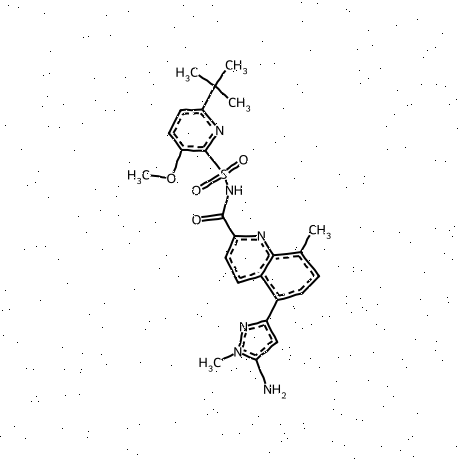 COc1ccc(C(C)(C)C)nc1S(=O)(=O)NC(=O)c1ccc2c(-c3cc(N)n(C)n3)ccc(C)c2n1